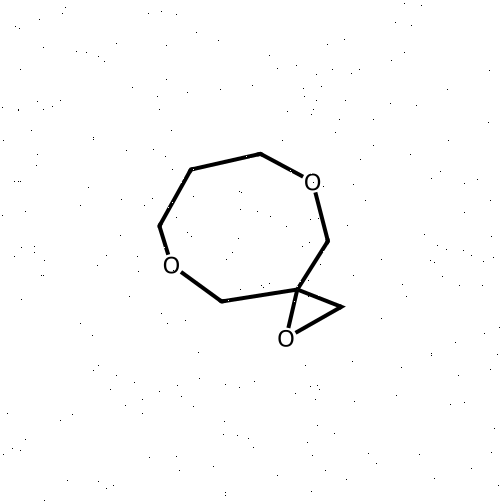 C1COCC2(COC1)CO2